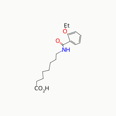 CCOc1ccccc1C(=O)NCCCCCCCC(=O)O